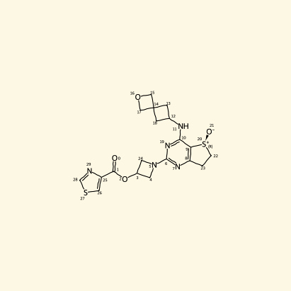 O=C(OC1CN(c2nc3c(c(NC4CC5(COC5)C4)n2)[S@@+]([O-])CC3)C1)c1cscn1